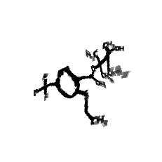 CCSc1cc(C(F)(F)F)ccc1B(O)OC(C)(C)C(C)(C)O